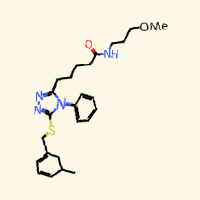 COCCCNC(=O)CCCCc1nnc(SCC2=CC=CC(C)C2)n1-c1ccccc1